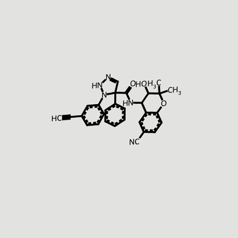 C#Cc1cccc(N2NN=CC2(C(=O)NC2c3cc(C#N)ccc3OC(C)(C)C2O)c2ccccc2)c1